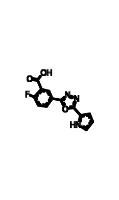 O=C(O)c1cc(-c2nnc(-c3ccc[nH]3)o2)ccc1F